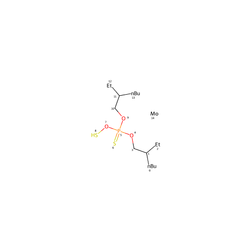 CCCCC(CC)COP(=S)(OS)OCC(CC)CCCC.[Mo]